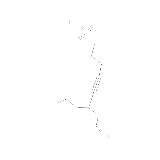 CCOC(C#CCCOS(C)(=O)=O)OCC